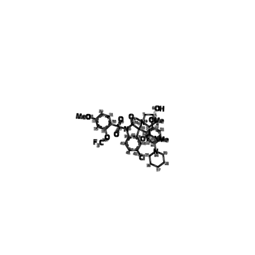 CNC(=O)[C@@H]1C[C@@H](O)C[N+]1(C)C1(c2cc(N3CCCCC3)ccc2OC)C(=O)N(S(=O)(=O)c2ccc(OC)cc2OC(F)(F)F)c2ccc(Cl)cc21